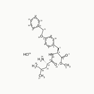 COC(=O)[C@H](Cc1ccc(OCc2ccccc2)cc1)NC(=O)[C@@H](N)CC(C)C.Cl